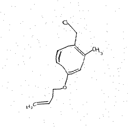 C=CCOc1ccc(CCl)c(C)c1